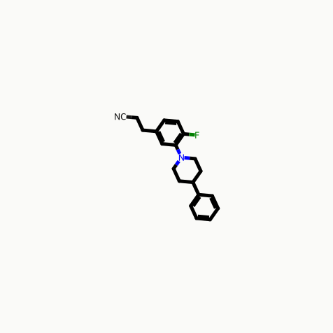 N#CCCc1ccc(F)c(N2CCC(c3ccccc3)CC2)c1